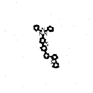 c1ccc(-c2nc(-c3ccccc3)nc(-c3ccc4c(c3)sc3cc(-c5cccc(-c6cccc7c6sc6ccccc67)c5)ccc34)n2)cc1